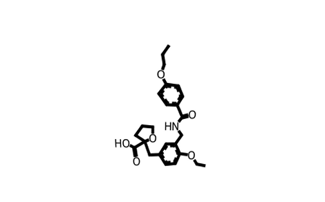 CCCOc1ccc(C(=O)NCc2cc(CC3(C(=O)O)CCCO3)ccc2OCC)cc1